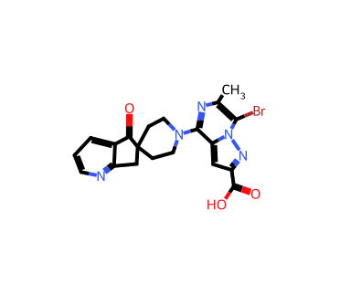 Cc1nc(N2CCC3(CC2)Cc2ncccc2C3=O)c2cc(C(=O)O)nn2c1Br